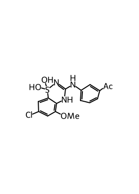 COc1cc(Cl)cc2c1NC(Nc1cccc(C(C)=O)c1)=NS2(O)O